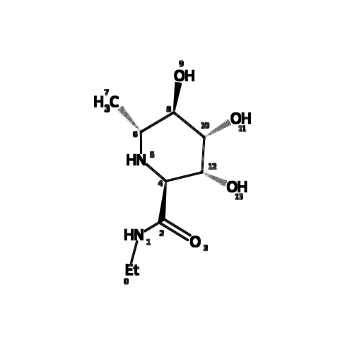 CCNC(=O)[C@H]1N[C@H](C)[C@@H](O)[C@H](O)[C@@H]1O